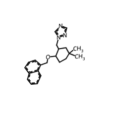 CC1(C)CCC(OCc2cccc3ccccc23)C(Cn2cncn2)C1